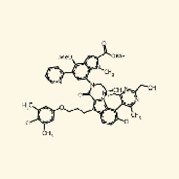 COC(=O)c1cc2c(OC)c(-c3ccccn3)cc(N3C[C@@H](C)n4c(c(CCCOc5cc(C)c(Cl)c(C)c5)c5ccc(Cl)c(-c6c(C)nc(CO)nc6C)c54)C3=O)c2n1C